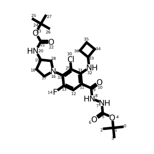 CC(C)(C)OC(=O)NNC(=O)c1cc(F)c(N2CCC(NC(=O)OC(C)(C)C)C2)c(Cl)c1NC1CCC1